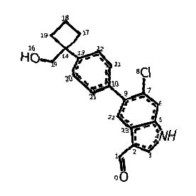 O=Cc1c[nH]c2cc(Cl)c(-c3ccc(C4(CO)CCC4)cc3)cc12